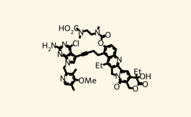 CCc1c2c(nc3ccc(OC(=O)N(C)CCN(C)C(=O)O)c(CCC#Cc4cn(Cc5ncc(C)c(OC)c5C)c5nc(N)nc(Cl)c45)c13)-c1cc3c(c(=O)n1C2)COC(=O)C3(O)CC